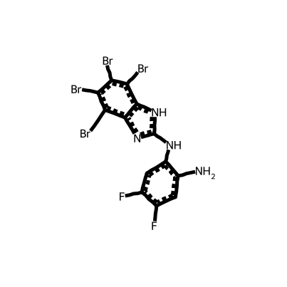 Nc1cc(F)c(F)cc1Nc1nc2c(Br)c(Br)c(Br)c(Br)c2[nH]1